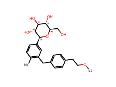 CCOCCc1ccc(Cc2cc([C@@H]3O[C@H](CO)[C@@H](O)[C@H](O)[C@H]3O)ccc2C#N)cc1